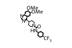 COc1cc2ncnc(C3CCN(C(=O)Nc4ccc(C(F)(F)F)cc4)CC3)c2cc1OC